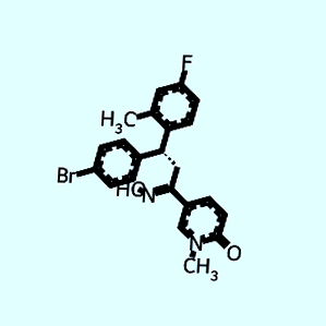 Cc1cc(F)ccc1[C@H](C/C(=N\O)c1ccc(=O)n(C)c1)c1ccc(Br)cc1